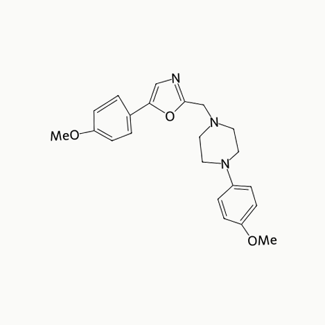 COc1ccc(-c2cnc(CN3CCN(c4ccc(OC)cc4)CC3)o2)cc1